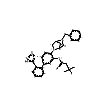 CC(C)(C)CC(=O)Nc1cc(-c2ccccc2-c2nnn[nH]2)ccc1N1CC2CC1CN2Cc1ccccc1